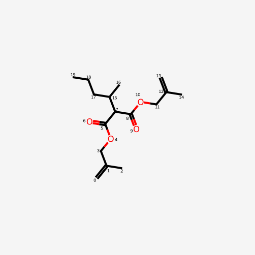 C=C(C)COC(=O)C(C(=O)OCC(=C)C)C(C)CCC